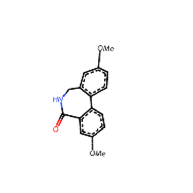 COc1ccc2c(c1)CNC(=O)c1cc(OC)ccc1-2